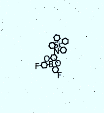 Fc1ccc2c(c1)Oc1cc(N3c4ccccc4[Si](c4ccccc4)(c4ccccc4)c4ccccc43)cc3c1B2c1ccc(F)cc1O3